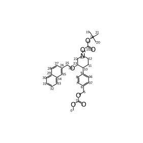 COC(=O)OCc1ccc(C2CCN(OC(=O)OC(C)(C)C)CC2OCc2ccc3ccccc3c2)cc1